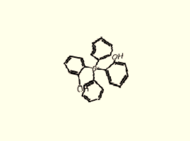 Oc1ccccc1[B-](c1ccccc1)(c1ccccc1)c1ccccc1O